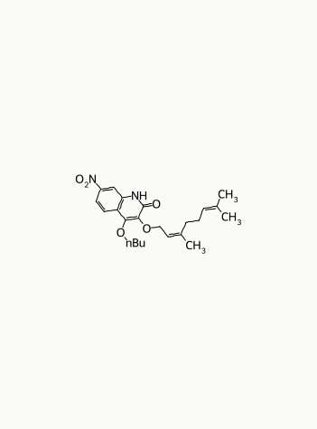 CCCCOc1c(OCC=C(C)CCC=C(C)C)c(=O)[nH]c2cc([N+](=O)[O-])ccc12